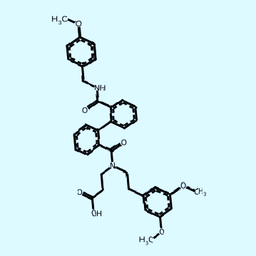 COc1ccc(CNC(=O)c2ccccc2-c2ccccc2C(=O)N(CCC(=O)O)CCc2cc(OC)cc(OC)c2)cc1